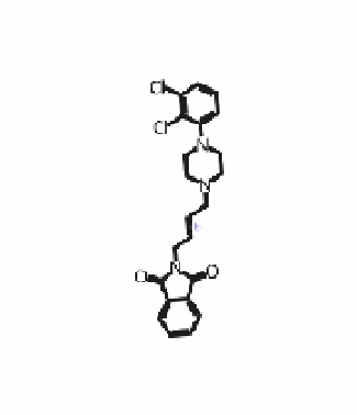 O=C1c2ccccc2C(=O)N1C/C=C/CN1CCN(c2cccc(Cl)c2Cl)CC1